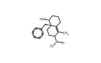 CCN(CC)C1CC[C@@]2(Cc3ccccc3)C(=C1C)CCC[C@@H]2O